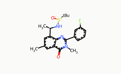 Cc1cc([C@@H](C)N[S+]([O-])C(C)(C)C)c2nc(-c3cccc(F)c3)n(C)c(=O)c2c1